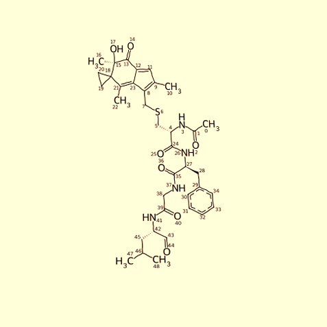 CC(=O)N[C@@H](CSCC1=C(C)C=C2C(=O)[C@](C)(O)C3(CC3)C(C)=C21)C(=O)N[C@@H](Cc1ccccc1)C(=O)NCC(=O)N[C@H](C=O)CC(C)C